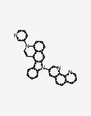 C1=CN(c2cccnc2)c2cccc3cc4c(c1c23)c1ccccc1n4-c1cnc2c(ccc3cccnc32)c1